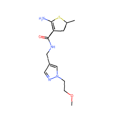 COCCn1cc(CNC(=O)C2=C(N)SC(C)C2)cn1